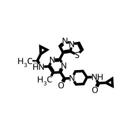 Cc1c(N[C@@H](C)C2CC2)nc(-c2cnn3ccsc23)nc1C(=O)N1CCC(NC(=O)C2CC2)CC1